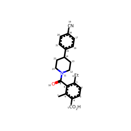 CCc1ccc(C(=O)O)c(C)c1C(=O)N1CCC(c2ccc(C#N)cc2)CC1